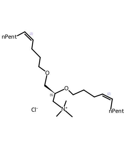 CCCCC/C=C\CCCOC[C@H](C[N+](C)(C)C)OCCC/C=C\CCCCC.[Cl-]